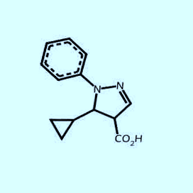 O=C(O)C1C=NN(c2ccccc2)C1C1CC1